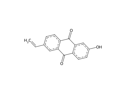 C=Cc1ccc2c(c1)C(=O)c1ccc(O)cc1C2=O